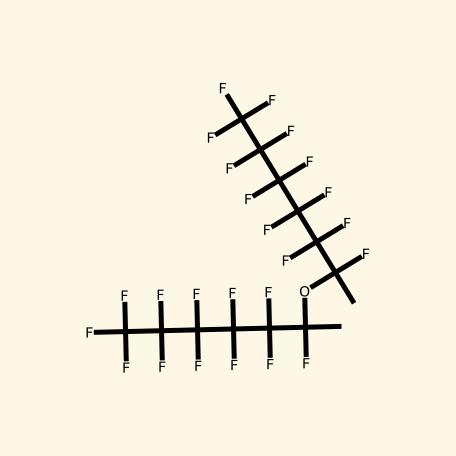 CC(F)(OC(C)(F)C(F)(F)C(F)(F)C(F)(F)C(F)(F)C(F)(F)F)C(F)(F)C(F)(F)C(F)(F)C(F)(F)C(F)(F)F